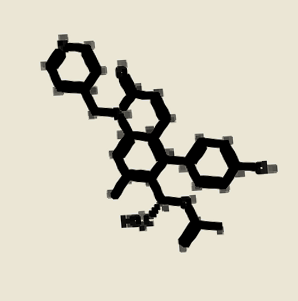 C=C(C)O[C@H](C(=O)O)c1c(C)cc2c(ccc(=O)n2Cc2ccncc2)c1-c1ccc(Cl)cc1